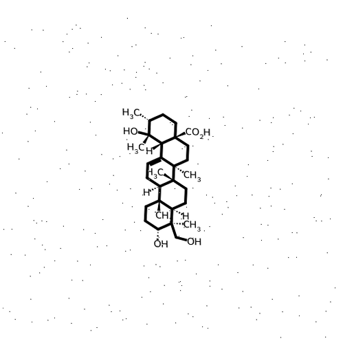 C[C@@H]1CC[C@]2(C(=O)O)CC[C@]3(C)C(=CC[C@@H]4[C@@]5(C)CC[C@@H](O)[C@](C)(CO)[C@@H]5CC[C@]43C)[C@@H]2[C@]1(C)O